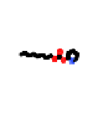 CCCCCCCCOC(=O)OC1CCCC[N]1